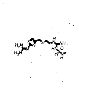 CNS(=O)(=O)NC(=N)NCCSCc1csc(N=C(N)N)n1